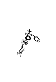 CC(C)(C)c1nc2cc(S(=O)(=O)CCCC(F)(F)F)ccc2n1CC1CCOCC1